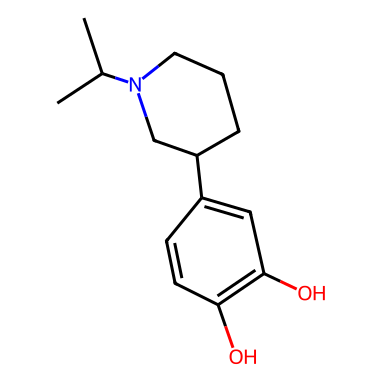 CC(C)N1CCCC(c2ccc(O)c(O)c2)C1